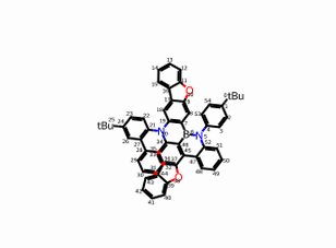 CC(C)(C)c1ccc(N2B3c4cc5oc6ccccc6c5cc4N(c4ccc(C(C)(C)C)cc4-c4ccccc4)c4cc5c(oc6ccccc65)c(c43)-c3ccccc32)cc1